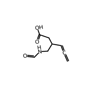 C=C=CC(CNC=O)CC(=O)O